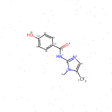 Cn1c(C(F)(F)F)cnc1NC(=O)c1ccc(O)cc1